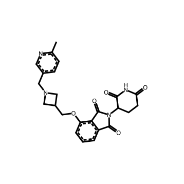 Cc1ccc(CN2CC(COc3cccc4c3C(=O)N(C3CCC(=O)NC3=O)C4=O)C2)cn1